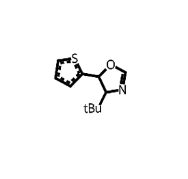 CC(C)(C)C1N=COC1c1cccs1